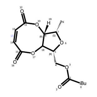 CCC(C)C(=O)OC[C@H]1O[C@@H](C)[C@H]2OC(=O)/C=C\C(=O)OC12